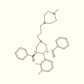 Cc1cccc(C2[C@@H](C(=O)c3ccccc3)CN(CCCN3CCN(C)CC3)C[C@@H]2C(=O)c2ccccc2)c1C